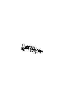 CCn1cc(CNC(=O)c2cc(C(=O)N[C@@H](C)c3ccc(-c4nnn[nH]4)cc3)ncn2)cn1